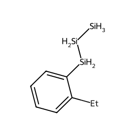 CCc1ccccc1[SiH2][SiH2][SiH3]